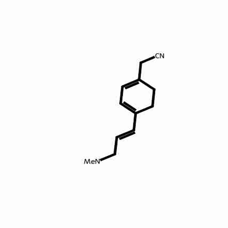 CNC/C=C/C1=CC=C(CC#N)CC1